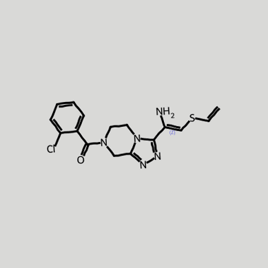 C=CS/C=C(\N)c1nnc2n1CCN(C(=O)c1ccccc1Cl)C2